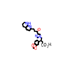 O=C(O)CC(Cn1cnc(C(=O)CCc2ccc3c(n2)NCCC3)c1)c1ccc2c(c1)OCO2